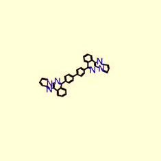 c1ccc2c(c1)c(-c1ccc(-c3ccc(-c4nc5c(nc6ccccn65)c5ccccc45)cc3)cc1)nc1c2nc2ccccn21